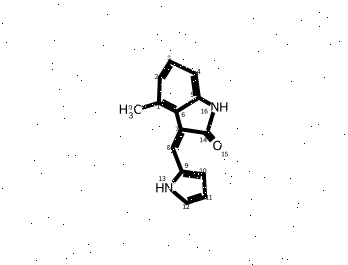 Cc1cccc2c1C(=Cc1ccc[nH]1)C(=O)N2